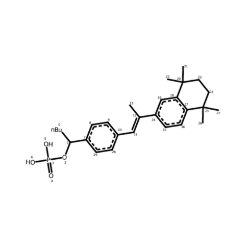 CCCCC(OP(=O)(O)O)c1ccc(C=C(C)c2ccc3c(c2)C(C)(C)CCC3(C)C)cc1